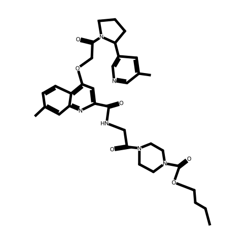 CCCCOC(=O)N1CCN(C(=O)CNC(=O)c2cc(OCC(=O)N3CCCC3c3cncc(C)c3)c3ccc(C)cc3n2)CC1